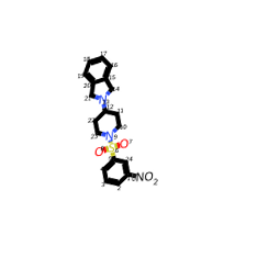 O=[N+]([O-])c1cccc(S(=O)(=O)N2CCC(N3Cc4ccccc4C3)CC2)c1